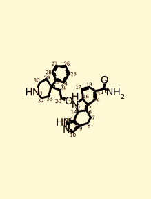 NC(=O)C1=CC2=C3CCc4cn[nH]c4C3NC2C=C1.O=CCC1(c2ccccc2)CCNCC1